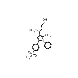 Cc1c(C(CCCO)C(=O)O)cc(-c2ccc(S(C)(=O)=O)cc2)n1-c1ccccc1